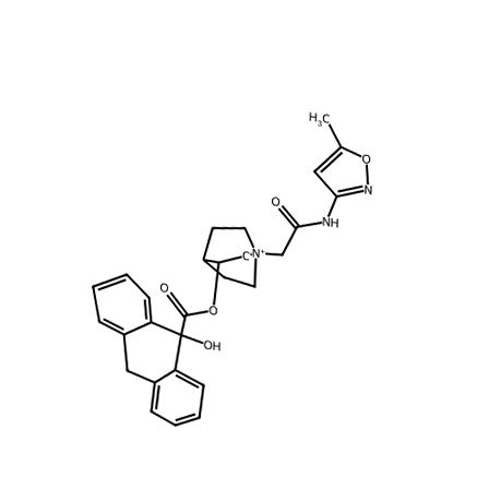 Cc1cc(NC(=O)C[N+]23CCC(CC2)C(OC(=O)C2(O)c4ccccc4Cc4ccccc42)C3)no1